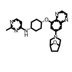 Cc1nccc(N[C@H]2CC[C@@H](Oc3cc(N4CC5CCC(C4)O5)cc4nccnc34)CC2)n1